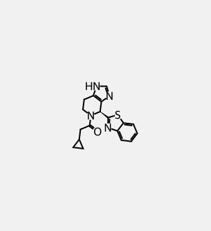 O=C(CC1CC1)N1CCc2[nH]cnc2[C@H]1c1nc2ccccc2s1